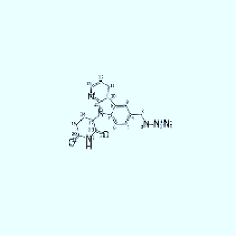 [N-]=[N+]=NCc1ccc2c(c1)c1cccnc1n2C1CCC(=O)NC1=O